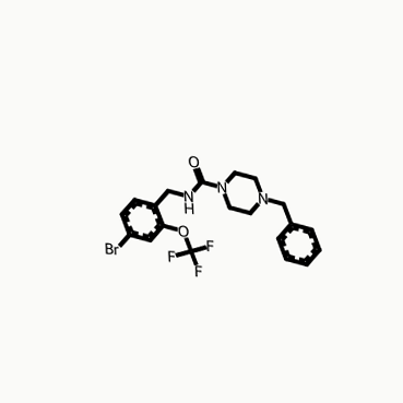 O=C(NCc1ccc(Br)cc1OC(F)(F)F)N1CCN(Cc2ccccc2)CC1